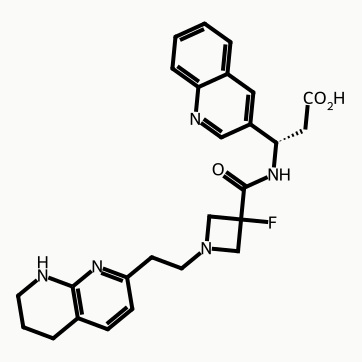 O=C(O)C[C@H](NC(=O)C1(F)CN(CCc2ccc3c(n2)NCCC3)C1)c1cnc2ccccc2c1